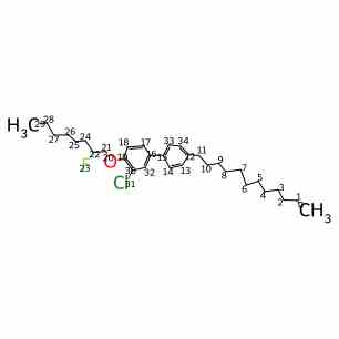 CCCCCCCCCCCCc1ccc(-c2ccc(OC[C@@H](F)CCCCCC)c(Cl)c2)cc1